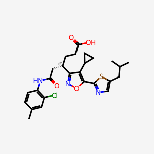 Cc1ccc(NC(=O)C[C@H](CCC(=O)O)c2noc(-c3ncc(CC(C)C)s3)c2C2CC2)c(Cl)c1